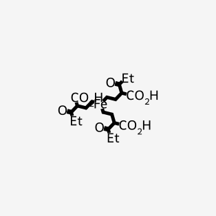 CCC(=O)C(C[CH2][Fe]([CH2]CC(C(=O)O)C(=O)CC)[CH2]CC(C(=O)O)C(=O)CC)C(=O)O